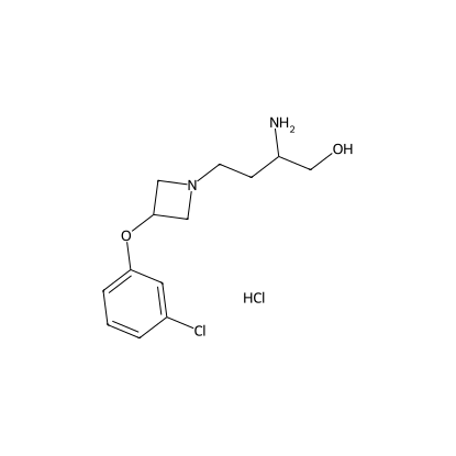 Cl.NC(CO)CCN1CC(Oc2cccc(Cl)c2)C1